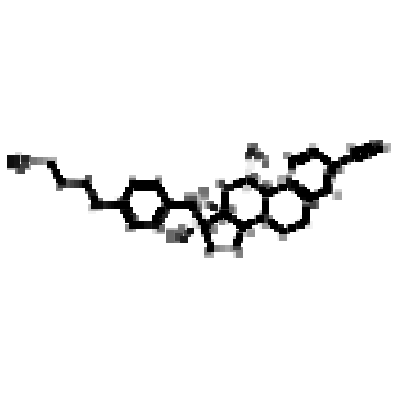 CCCCOc1ccc(C[C@]2(O)CCC3C4CCc5cc(C#N)ccc5C4[C@@H](C)C[C@@]32C)cc1